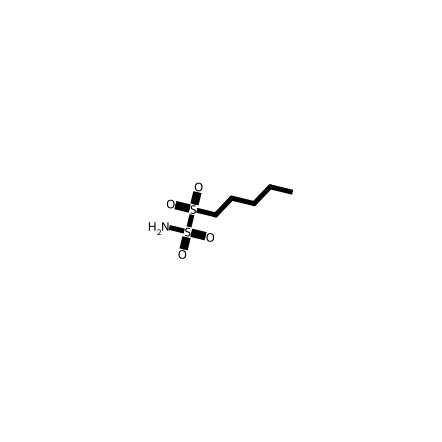 CCCCCS(=O)(=O)S(N)(=O)=O